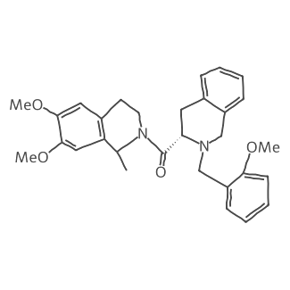 COc1ccccc1CN1Cc2ccccc2C[C@H]1C(=O)N1CCc2cc(OC)c(OC)cc2C1C